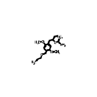 CCCOCc1cc(OC)c(CC(CC)OC(N)=O)cc1OC